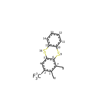 Cc1c(C(F)(F)F)cc2c(c1C)Sc1ccccc1S2